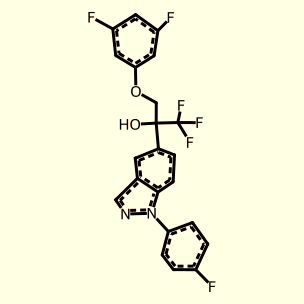 OC(COc1cc(F)cc(F)c1)(c1ccc2c(cnn2-c2ccc(F)cc2)c1)C(F)(F)F